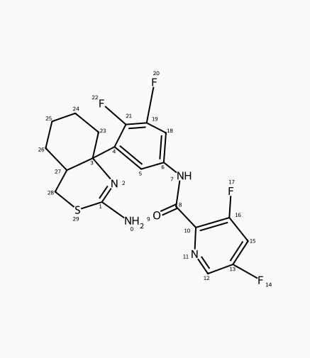 NC1=NC2(c3cc(NC(=O)c4ncc(F)cc4F)cc(F)c3F)CCCCC2CS1